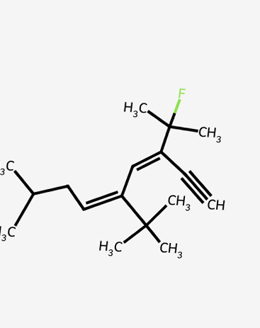 C#C/C(=C\C(=C/CC(C)C)C(C)(C)C)C(C)(C)F